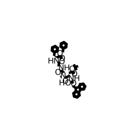 CN(CC(=O)NCC(=O)N[C@@H](Cc1ccccc1)C(=O)OCc1ccccc1)C(=O)[C@H](CC(=O)OC(C)(C)C)NC(O)OCC1c2ccccc2-c2ccccc21